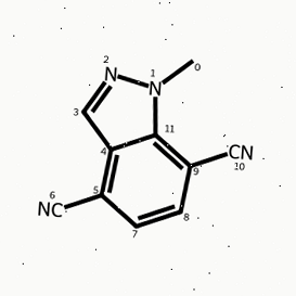 Cn1ncc2c(C#N)ccc(C#N)c21